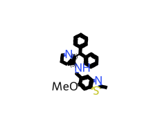 COc1cc2sc(C)nc2cc1CN[C@H]1C2CCN(C2)[C@H]1C(c1ccccc1)c1ccccc1